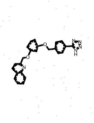 c1cc(OCc2ccc(-c3nnn[nH]3)cc2)cc(OCc2ccc3ccccc3n2)c1